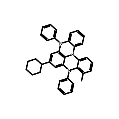 Cc1cccc2c1N(c1ccccc1)c1cc(C3CCCCC3)cc3c1B2c1ccccc1N3c1ccccc1